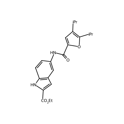 CCOC(=O)c1cc2cc(NC(=O)c3cc(C(C)C)c(C(C)C)o3)ccc2[nH]1